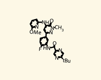 COc1cccc(Nc2cc(-c3ccc(F)c(NC(=O)c4cnc(C(C)(C)C)cn4)c3)nn(C)c2=O)n1